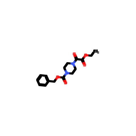 CCOC(=O)C(=O)N1CCN(C(=O)OCc2ccccc2)CC1